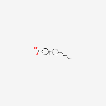 CCCCCC1CCC([SiH]2CCC(C(=O)O)CC2)CC1